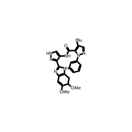 COC1=Cc2nc(-c3n[nH]cc3NC(=O)c3c(C(C)(C)C)cnn3-c3ccccc3)[nH]c2CC1OC